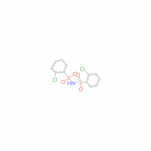 O=S(=O)(NS(=O)(=O)c1ccccc1Cl)c1ccccc1Cl